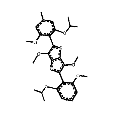 COc1cccc(OC(C)C)c1-c1sc2c(OC)c(-c3c(OC)cc(C)cc3OC(C)C)sc2c1OC